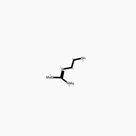 CNC(=NCCS)NC